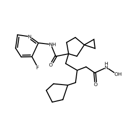 O=C(CC(CC1CCCC1)CC1(C(=O)Nc2ncccc2F)CCC2(CC2)C1)NO